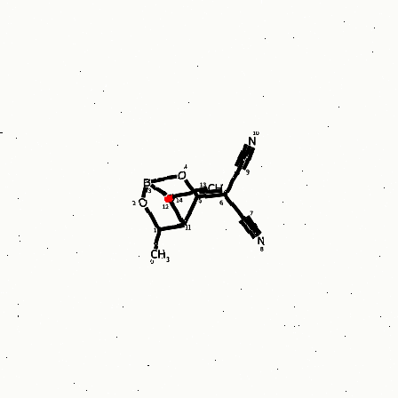 CC1OB2OC(=C(C#N)C#N)C1C(C)O2